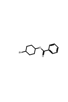 CC(C)C1CCC(OC(=O)c2ccccc2)CC1